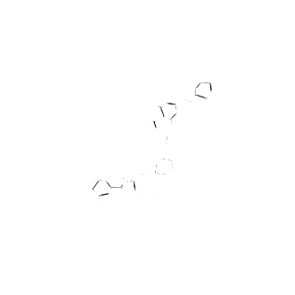 Cc1cccc(-c2nc(CO[C@H]3CCC[C@@H](OCCOc4cc(OCc5ccccc5)cc(C)c4C(=O)O)C3)c(C)o2)c1